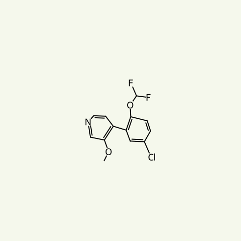 COc1cnccc1-c1cc(Cl)ccc1OC(F)F